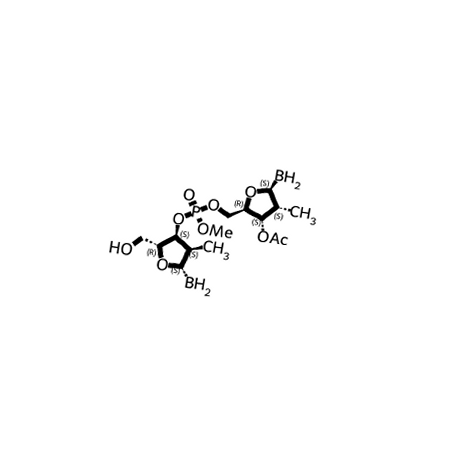 B[C@@H]1O[C@H](COP(=O)(OC)O[C@H]2[C@@H](C)[C@H](B)O[C@@H]2CO)[C@@H](OC(C)=O)[C@H]1C